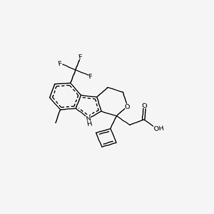 Cc1ccc(C(F)(F)F)c2c3c([nH]c12)C(CC(=O)O)(C1=CC=C1)OCC3